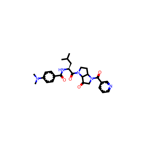 CC(C)C[C@H](NC(=O)c1ccc(N(C)C)cc1)C(=O)N1CCC2C1C(=O)CN2C(=O)c1cccnc1